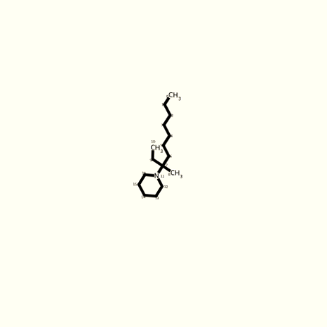 CCCCCCCC(C)(CC)N1CCCCC1